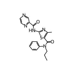 CCCN(C(=O)c1sc(NC(=O)c2cnccn2)nc1C)c1ccccc1